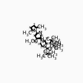 COc1cc(-n2c(C)ccc2C)ncc1N1CCN(C(=O)OC(C)(C)C)[C@@H](C(O[SiH](C)C)C(C)(C)C)C1